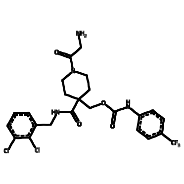 NCC(=O)N1CCC(COC(=O)Nc2ccc(C(F)(F)F)cc2)(C(=O)NCc2cccc(Cl)c2Cl)CC1